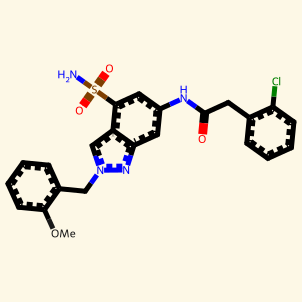 COc1ccccc1Cn1cc2c(S(N)(=O)=O)cc(NC(=O)Cc3ccccc3Cl)cc2n1